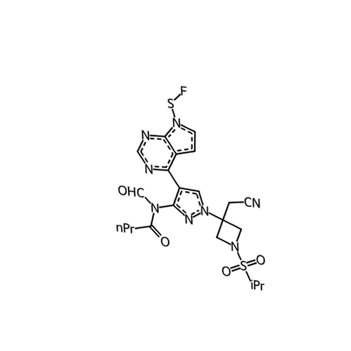 CCCC(=O)N(C=O)c1nn(C2(CC#N)CN(S(=O)(=O)C(C)C)C2)cc1-c1ncnc2c1ccn2SF